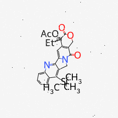 CC[C@@]1(OC(C)=O)C(=O)OCc2c1cc1n(c2=O)Cc2c-1nc1ccccc1c2[Si](C)(C)C